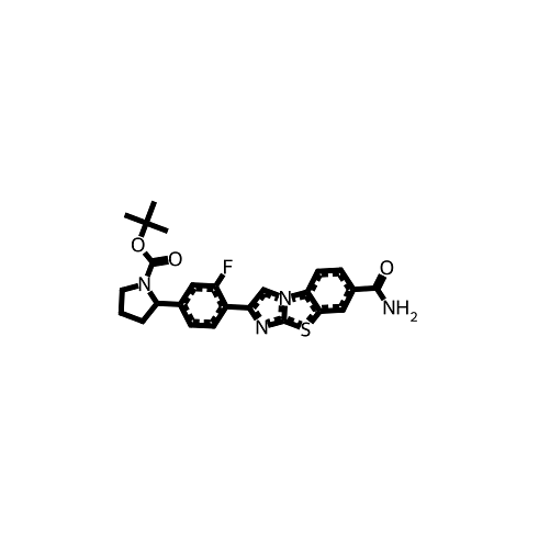 CC(C)(C)OC(=O)N1CCCC1c1ccc(-c2cn3c(n2)sc2cc(C(N)=O)ccc23)c(F)c1